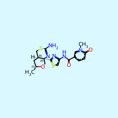 C[C@H]1C[C@H]2CSC(N)=N[C@@]2(c2nc(NC(=O)c3ccc(=O)n(C)c3)cs2)CO1